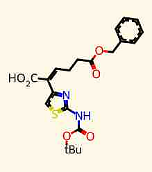 CC(C)(C)OC(=O)Nc1nc(C(=CCCC(=O)OCc2ccccc2)C(=O)O)cs1